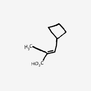 C/C(=C\C1CCC1)C(=O)O